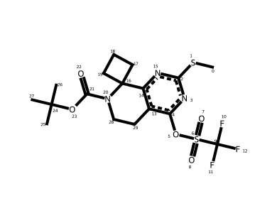 CSc1nc(OS(=O)(=O)C(F)(F)F)c2c(n1)C1(CCC1)N(C(=O)OC(C)(C)C)CC2